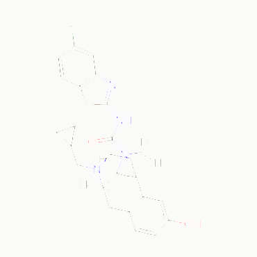 CN(C(=O)Nc1nc2cc(F)ccc2s1)[C@@H]1[C@H]2Cc3ccc(O)cc3[C@]1(C)CCN2CC1CC1